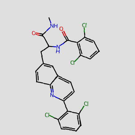 CNC(=O)C(Cc1ccc2nc(-c3c(Cl)cccc3Cl)ccc2c1)NC(=O)c1c(Cl)cccc1Cl